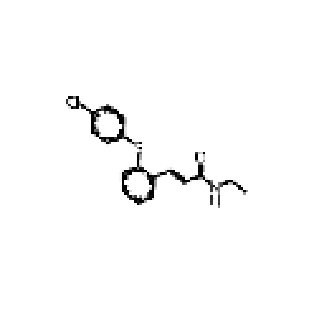 CCNC(=O)/C=C/c1ccccc1Sc1ccc(Cl)cc1